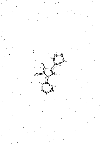 CC1C(=O)N(c2ncccn2)N=C1c1cccnc1